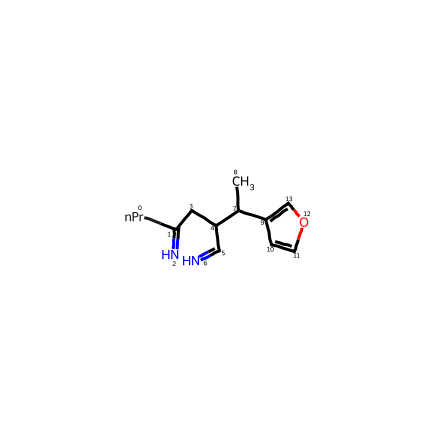 CCCC(=N)CC(C=N)C(C)c1ccoc1